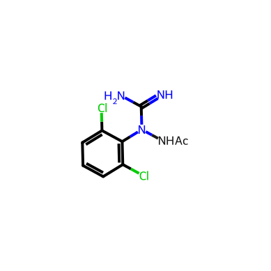 CC(=O)NN(C(=N)N)c1c(Cl)cccc1Cl